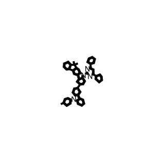 Cc1ccc(-n2c3ccccc3c3cc(-c4ccc5c(c4)c4cc6c(cc4n5-c4nc(-c5ccccc5)cc(-c5ccccc5)n4)C(C)(C)c4ccccc4-6)ccc32)cc1